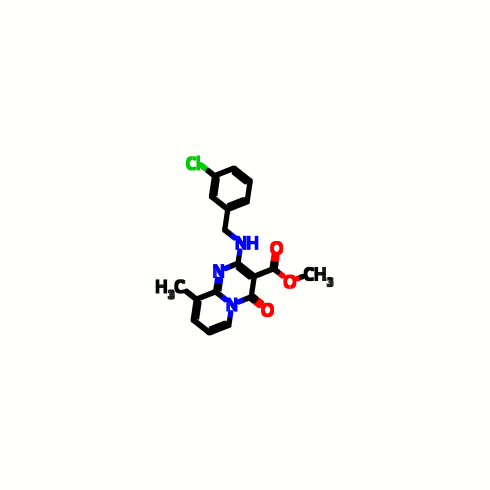 COC(=O)c1c(NCc2cccc(Cl)c2)nc2c(C)cccn2c1=O